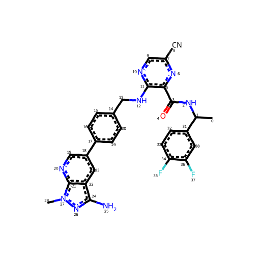 CC(NC(=O)c1nc(C#N)cnc1NCc1ccc(-c2cnc3c(c2)c(N)nn3C)cc1)c1ccc(F)c(F)c1